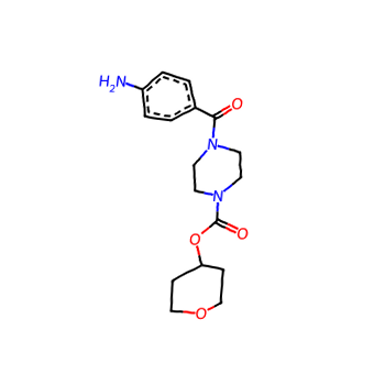 Nc1ccc(C(=O)N2CCN(C(=O)OC3CCOCC3)CC2)cc1